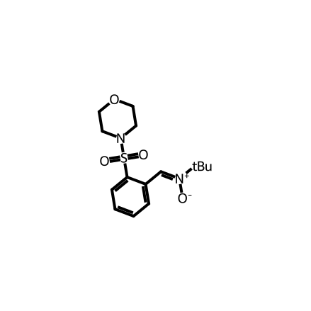 CC(C)(C)/[N+]([O-])=C/c1ccccc1S(=O)(=O)N1CCOCC1